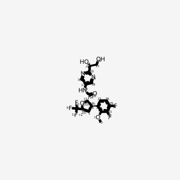 COc1c([C@H]2C[C@@](C)(C(F)(F)F)O[C@@H]2C(=O)Nc2cnc([C@@H](O)CO)nc2)ccc(F)c1F